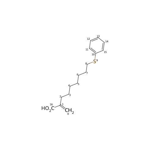 C=C(CCCCCCCSc1ccccc1)C(=O)O